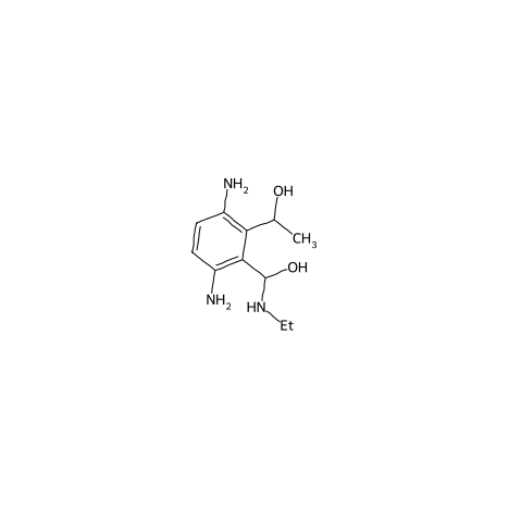 CCNC(O)c1c(N)ccc(N)c1C(C)O